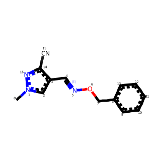 Cn1cc(/C=N/OCc2ccccc2)c(C#N)n1